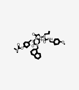 C=CCN(C(=O)NCc1ccc(OC)cc1)N1CC(=O)N2[C@@H](Cc3ccc(OC(=O)N(C)C)cc3)C(=O)N(Cc3cccc4ccccc34)C[C@@H]21